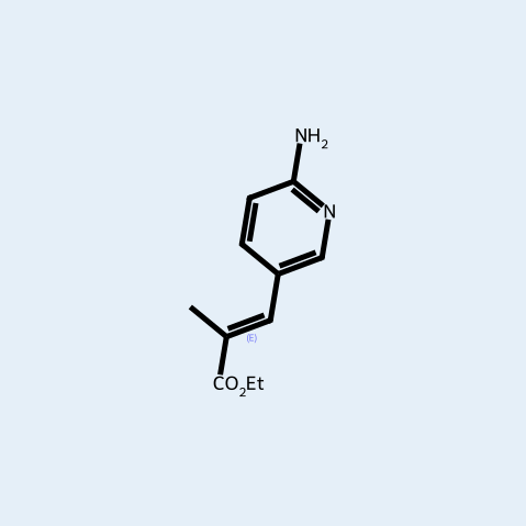 CCOC(=O)/C(C)=C/c1ccc(N)nc1